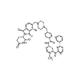 Cc1ccc(NC(=O)c2ccc(CN3CCN(Cc4ccc5c(c4Br)C(=O)N(C4CCC(=O)NC4=O)C5=O)CC3)cc2)cc1Nc1nccc(-c2cccnc2)n1